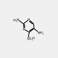 Nc1ncc(N)c(S(=O)(=O)O)n1